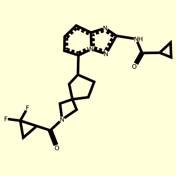 O=C(Nc1nc2cccc(C3CCC4(C3)CN(C(=O)C3CC3(F)F)C4)n2n1)C1CC1